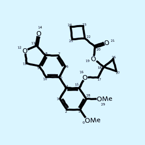 COc1ccc(-c2ccc3c(c2)COC3=O)c(OCC2(OC(=O)C3CCC3)CC2)c1OC